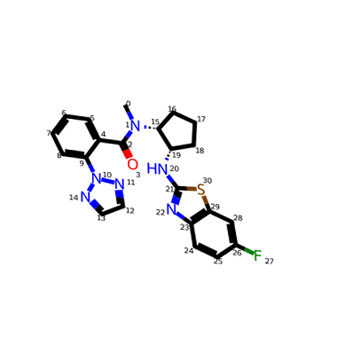 CN(C(=O)c1ccccc1-n1nccn1)[C@@H]1CCC[C@@H]1Nc1nc2ccc(F)cc2s1